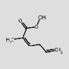 C=CCC=C(C)C(=O)OO